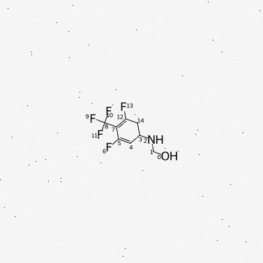 OCNC1C=C(F)C(C(F)(F)F)=C(F)C1